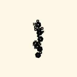 Nc1ncnc2c1c(-c1ccc(Oc3ccccc3)cc1)nn2[C@@H]1CCCN(Cc2cc(F)c3c(c2)C(=O)N(C2CCC(=O)NC2=O)C3=O)C1